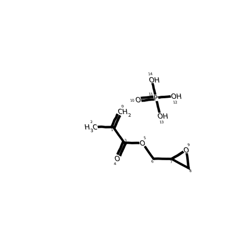 C=C(C)C(=O)OCC1CO1.O=P(O)(O)O